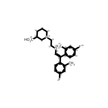 Cc1cc(F)ccc1C(=COCCN1CCCC(C(=O)O)C1)c1ccc(F)cc1C